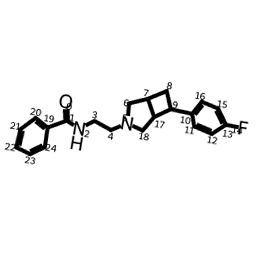 O=C(NCCN1CC2CC(c3ccc(F)cc3)C2C1)c1ccccc1